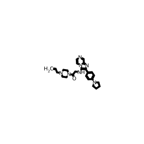 C=CCN1CCN(C(=O)CNc2c(-c3ccc(N4CCCC4)cc3)nc3cnccn23)CC1